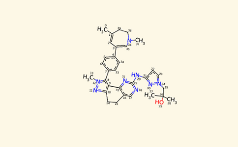 CC1=CC(c2ccc(-c3c4c(nn3C)CCc3cnc(Nc5ccn(CC(C)(C)O)n5)nc3-4)cc2)=CN(C)CC1